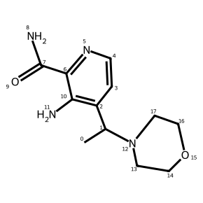 CC(c1ccnc(C(N)=O)c1N)N1CCOCC1